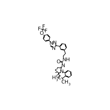 CC(C)c1ccccc1N1C(=O)SC/C1=N\C(=O)NCCc1cccc(-c2ncn(-c3ccc(OC(F)(F)F)cc3)n2)c1